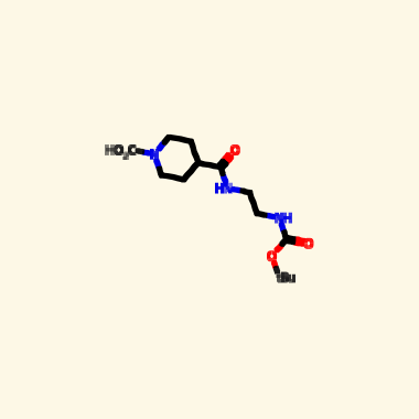 CC(C)(C)OC(=O)NCCNC(=O)C1CCN(C(=O)O)CC1